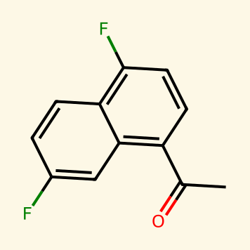 CC(=O)c1ccc(F)c2ccc(F)cc12